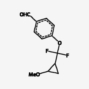 COC1CC1C(F)(F)Oc1ccc(C=O)cc1